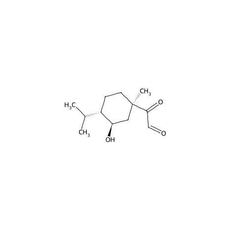 CC(C)[C@@H]1CC[C@@](C)(C(=O)C=O)C[C@H]1O